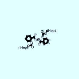 CCCCCCCOC(=O)Oc1ccccc1C(=O)OOC(=O)c1ccccc1OC(=O)OCCCCCCC